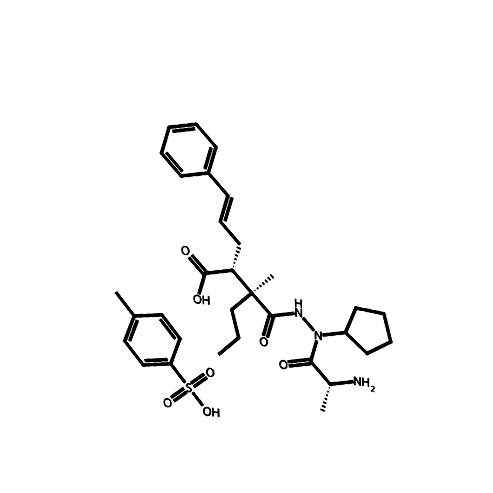 CCC[C@](C)(C(=O)NN(C(=O)[C@@H](C)N)C1CCCC1)[C@@H](CC=Cc1ccccc1)C(=O)O.Cc1ccc(S(=O)(=O)O)cc1